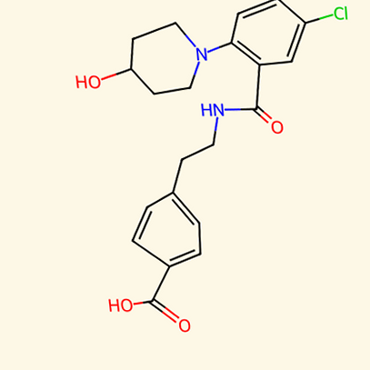 O=C(O)c1ccc(CCNC(=O)c2cc(Cl)ccc2N2CCC(O)CC2)cc1